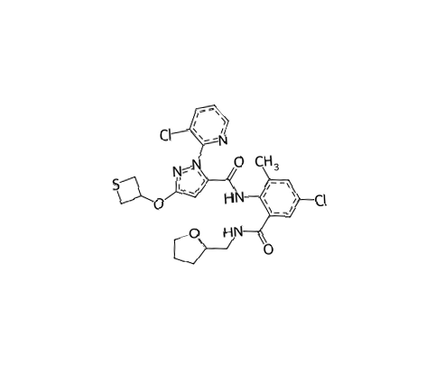 Cc1cc(Cl)cc(C(=O)NCC2CCCO2)c1NC(=O)c1cc(OC2CSC2)nn1-c1ncccc1Cl